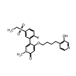 CCS(=O)(=O)c1ccc(F)c(-c2cn(C)c(=O)cc2OCCCCc2ccncc2O)c1